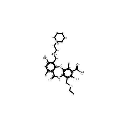 CCOCc1c(O)c(C(=O)O)c(C)c2c1OC(=O)c1c(C)cc(O)c(CNCCN3CCCCC3)c1O2